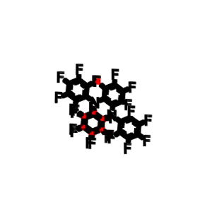 Fc1c(F)c(F)c(N(c2c(F)c(F)c(F)c(F)c2F)c2c(F)c(F)c(F)c(F)c2N(c2c(F)c(F)c(F)c(F)c2F)c2c(F)c(F)c(F)c(F)c2F)c(F)c1F